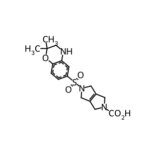 CC1(C)CNc2cc(S(=O)(=O)N3CC4=C(CN(C(=O)O)C4)C3)ccc2O1